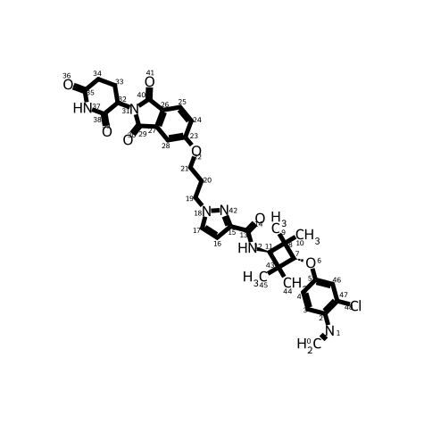 C=Nc1ccc(O[C@H]2C(C)(C)[C@H](NC(=O)c3ccn(CCCOc4ccc5c(c4)C(=O)N(C4CCC(=O)NC4=O)C5=O)n3)C2(C)C)cc1Cl